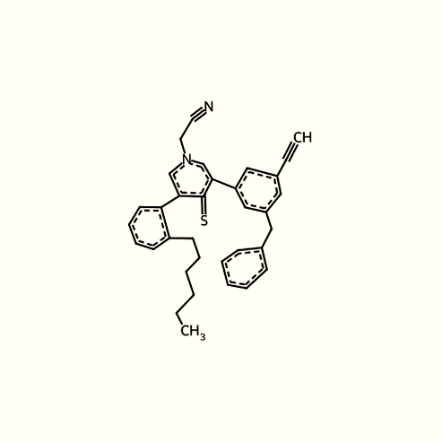 C#Cc1cc(Cc2ccccc2)cc(-c2cn(CC#N)cc(-c3ccccc3CCCCCC)c2=S)c1